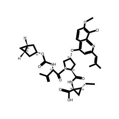 C=C(C)[C@H](NC(=O)O[C@@H]1C[C@@H]2C[C@@H]2C1)C(=O)N1C[C@H](Oc2cc(C=C(C)C)nc3c(Cl)c(OC)ccc23)C[C@H]1C(=O)N[C@]1(C(=O)O)C[C@H]1CC